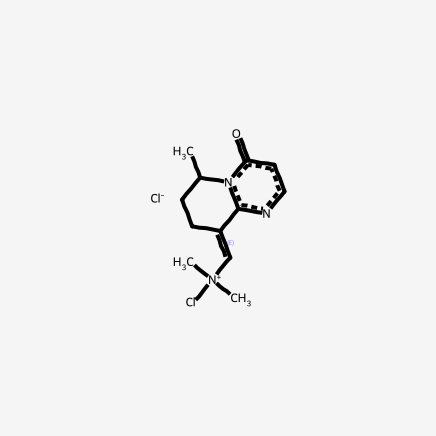 CC1CC/C(=C\[N+](C)(C)Cl)c2nccc(=O)n21.[Cl-]